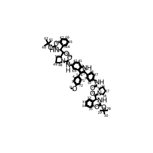 COc1ccc(-c2c(-c3ccc(NC(=O)[C@@H]4CCCN4C(=O)[C@H](NC(=O)OC(C)(C)C)c4ccccc4)cc3)[nH]c3ccc(NC(=O)N4CCCC4C(=O)[C@H](NC(=O)OC(C)(C)C)c4ccccc4)cc23)cc1